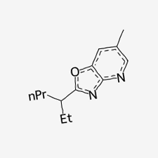 CCCC(CC)c1nc2ncc(C)cc2o1